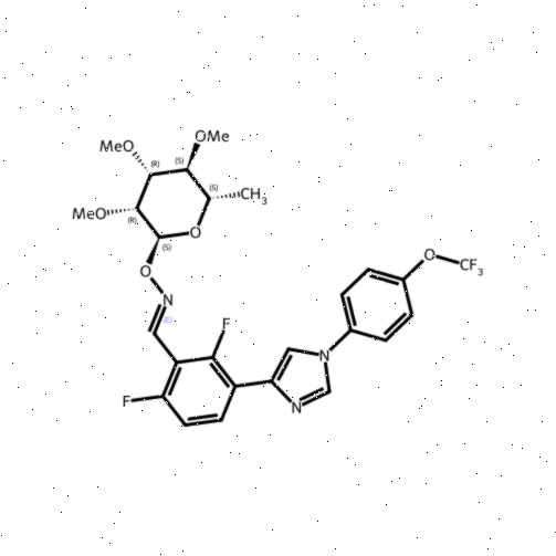 CO[C@@H]1[C@@H](OC)[C@H](C)O[C@@H](O/N=C/c2c(F)ccc(-c3cn(-c4ccc(OC(F)(F)F)cc4)cn3)c2F)[C@@H]1OC